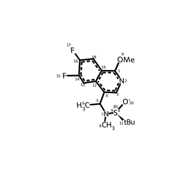 COc1ncc(C(C)N(C)[S@@+]([O-])C(C)(C)C)c2cc(F)c(F)cc12